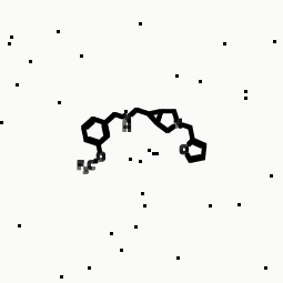 FC(F)(F)Oc1cccc(CNCC2C3CN(Cc4ccco4)CC23)c1